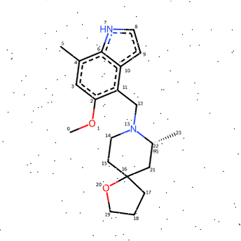 COc1cc(C)c2[nH]ccc2c1CN1CCC2(CCCO2)C[C@H]1C